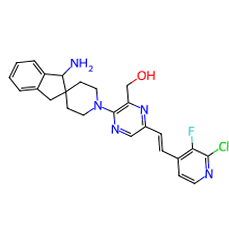 NC1c2ccccc2CC12CCN(c1ncc(C=Cc3ccnc(Cl)c3F)nc1CO)CC2